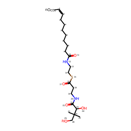 CCCCCCCC/C=C\CCCCCCCC(=O)NCCSC(=O)CCNC(=O)C(O)C(C)(C)CO